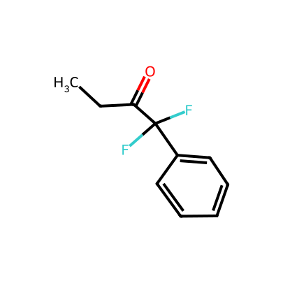 CCC(=O)C(F)(F)c1ccccc1